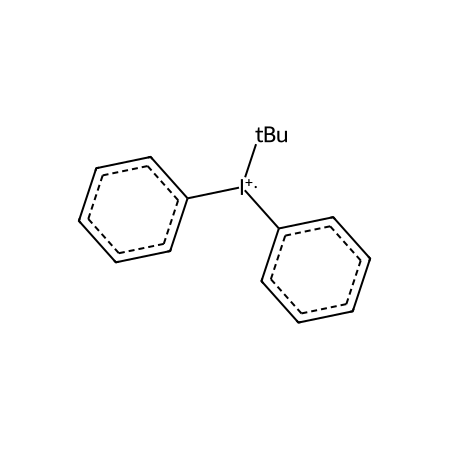 CC(C)(C)[I+](c1ccccc1)c1ccccc1